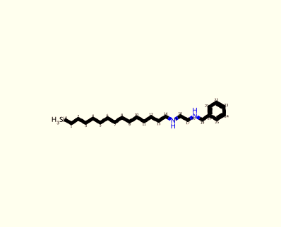 [SiH3]CCCCCCCCCCCCCCNCCNCc1ccccc1